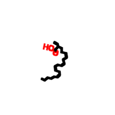 C=CC(CC/C=C\C/C=C\C/C=C\C/C=C\CCCCC)C(=O)O